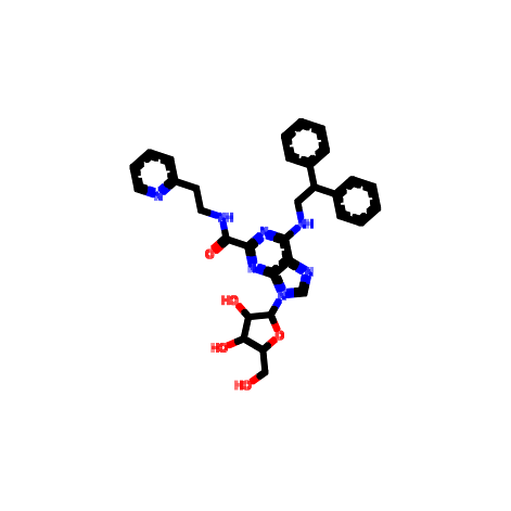 O=C(NCCc1ccccn1)c1nc(NCC(c2ccccc2)c2ccccc2)c2ncn(C3OC(CO)C(O)C3O)c2n1